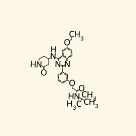 CCOc1ccc2nc(-c3cccc(OCC(=O)NC(C)(C)C)c3)nc(NC3CCNC(=O)C3)c2c1